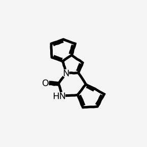 O=c1[nH]c2ccccc2c2cc3ccccc3n12